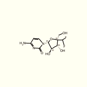 Nc1ccn([C@@H]2O[C@@](CO)(C(F)F)[C@H](O)[C@H]2O)c(=O)n1